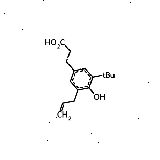 C=CCc1cc(CCC(=O)O)cc(C(C)(C)C)c1O